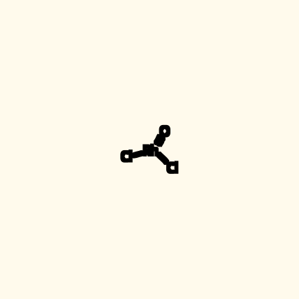 [O]=[Rh]([Cl])[Cl]